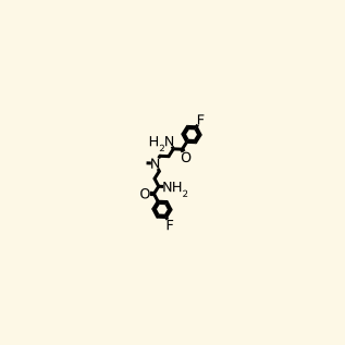 CN(CCC(N)C(=O)c1ccc(F)cc1)CCC(N)C(=O)c1ccc(F)cc1